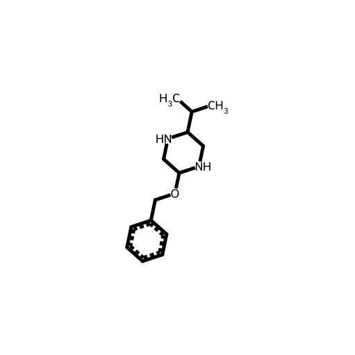 CC(C)C1CNC(OCc2ccccc2)CN1